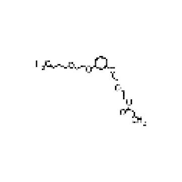 C=CCCOCCOc1cccc(OCCOCCOC(=O)C=C)c1